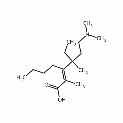 CCCCC(=C(C)C(=O)O)C(C)(CC)CCN(C)C